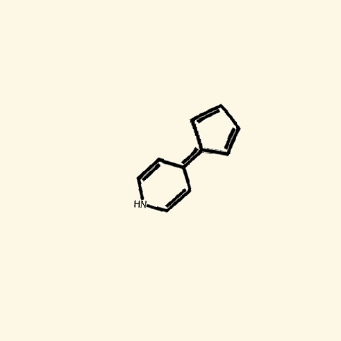 C1=CC(=C2C=CNC=C2)C=C1